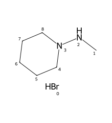 Br.CNN1CCCCC1